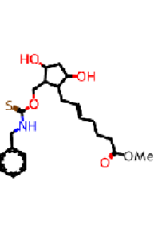 COC(=O)CCC/C=C/CC1C(O)CC(O)C1COC(=S)NCc1ccccc1